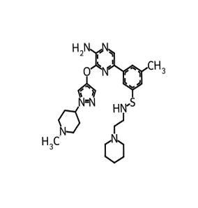 Cc1cc(SNCCN2CCCCC2)cc(-c2cnc(N)c(Oc3cnn(C4CCN(C)CC4)c3)n2)c1